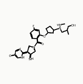 CNN(CC(C)CO)C1CCC(Oc2cc(F)ccc2C(=O)N2CC(=N)/C(=C3/N=CC(Cl)=CN3)C2)C1